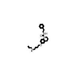 C=CCN(C)C/C=C/COc1ccc2c(c1)CCCN2C(=O)NCCc1ccccc1